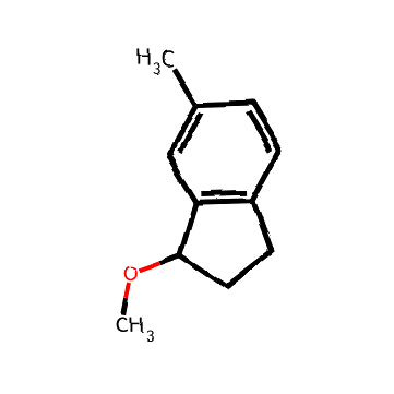 COC1CCc2ccc(C)cc21